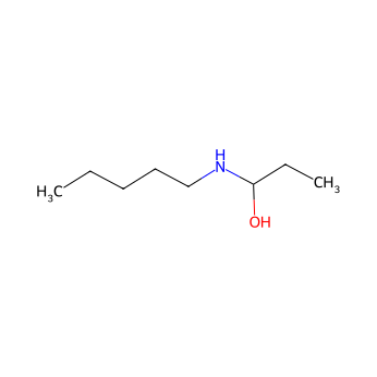 CCCCCNC(O)CC